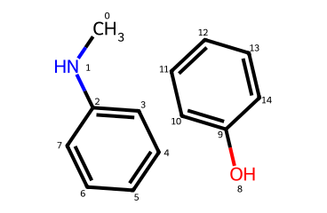 CNc1ccccc1.Oc1ccccc1